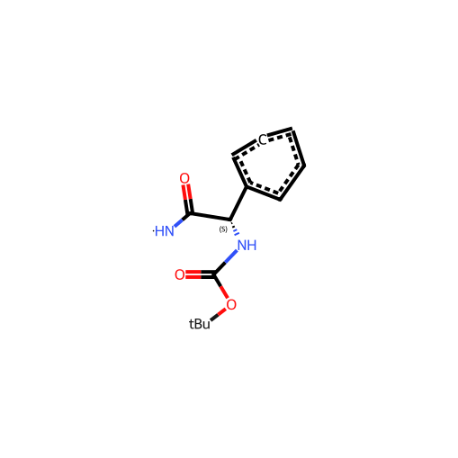 CC(C)(C)OC(=O)N[C@H](C([NH])=O)c1ccccc1